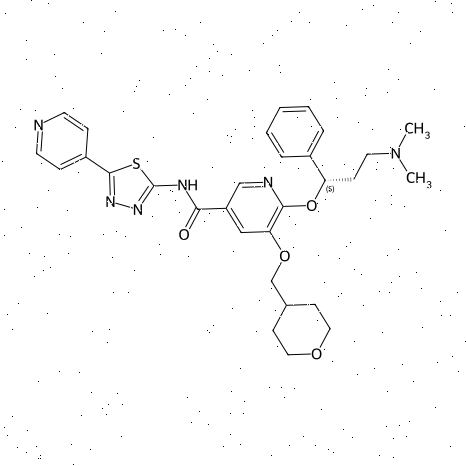 CN(C)CC[C@H](Oc1ncc(C(=O)Nc2nnc(-c3ccncc3)s2)cc1OCC1CCOCC1)c1ccccc1